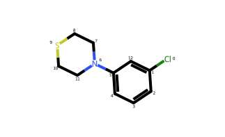 Clc1cccc(N2CCSCC2)c1